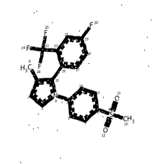 Cc1ccn(-c2ccc(S(C)(=O)=O)cc2)c1-c1ccc(F)cc1C(F)(F)F